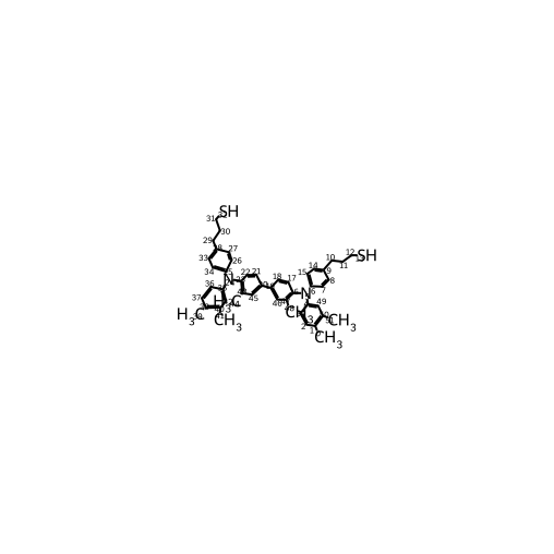 Cc1ccc(N(c2ccc(CCCS)cc2)c2ccc(-c3ccc(N(c4ccc(CCCS)cc4)c4ccc(C)c(C)c4)c(C)c3)cc2C)cc1C